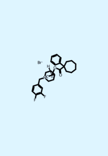 O=C(O[C@H]1C[N+]2(Cc3ccc(F)c(F)c3)CCC1CC2)C1(c2ccccc2)CCCCCC1.[Br-]